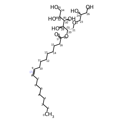 CCCCCCCC/C=C\CCCCCCCC(=O)O[C@@H](COCC(O)CO)[C@@H](O)[C@H](O)[C@H](O)CO